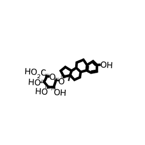 C[C@]12CCC3c4ccc(O)cc4CCC3C1CC[C@@H]2O[C@@H]1O[C@H](C(=O)O)[C@@H](O)[C@H](O)[C@H]1O